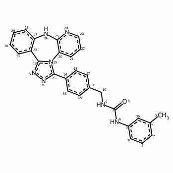 Cc1cccc(NC(=O)NCc2ccc(-c3nnc4n3-c3cccnc3Nc3ccccc3-4)cc2)c1